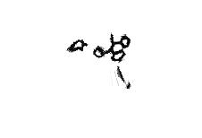 CCC(=C(c1ccc(OCCNC(=O)O)cc1)c1ccc(OCc2ccccc2)cc1Cl)c1ccccc1